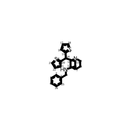 c1ccc(CNC2C3CCN(CC3)C2C(c2cccs2)c2cccs2)cc1